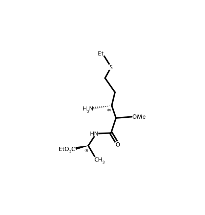 CCOC(=O)[C@H](C)NC(=O)C(OC)[C@H](N)CCSCC